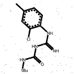 Cc1ccc(NC(=N)NC(=O)NC(C)(C)C)c(Cl)c1